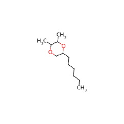 CCCCCCC1COC(C)C(C)O1